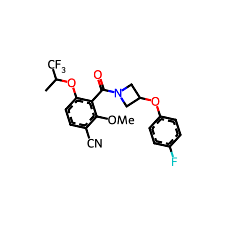 COc1c(C#N)ccc(OC(C)C(F)(F)F)c1C(=O)N1CC(Oc2ccc(F)cc2)C1